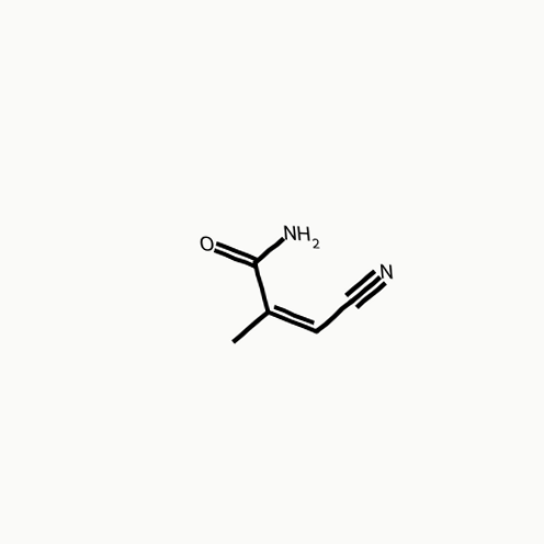 CC(=CC#N)C(N)=O